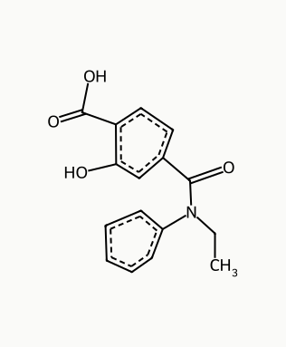 CCN(C(=O)c1ccc(C(=O)O)c(O)c1)c1ccccc1